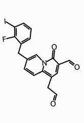 O=CCc1cc(C=O)c(=O)n2cc(Cc3cccc(I)c3F)ccc12